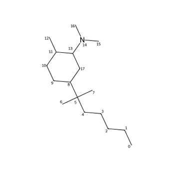 CCCCCC(C)(C)C1CCC(C)C(N(C)C)C1